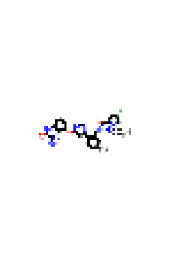 Nc1nc2c(Oc3cc(-c4ccc(C(F)(F)F)cc4CNC(=O)C4CC(F)CN4C(=O)O)ncn3)cccc2[nH]c1=O